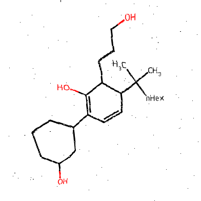 CCCCCCC(C)(C)C1C=CC(C2CCCC(O)C2)=C(O)C1CCCO